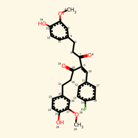 COc1cc(CCC(=O)C(=Cc2ccc(F)cc2)C(=O)CCc2ccc(O)c(OC)c2)ccc1O